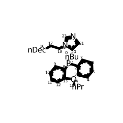 CCCCB(c1ccccc1)c1ccccc1OCCC.CCCCCCCCCCCCn1ccnc1